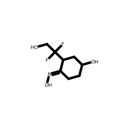 OCC(F)(F)C1CC(O)CCC1=NO